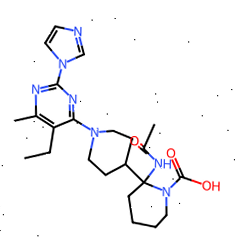 CCc1c(C)nc(-n2ccnc2)nc1N1CCC(C2(NC(C)=O)CCCCN2C(=O)O)CC1